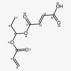 C=CC(=O)OC(CC)OC(=O)C=CC(=O)O